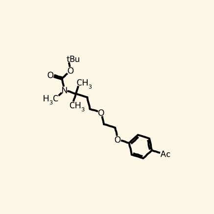 CC(=O)c1ccc(OCCOCCC(C)(C)N(C)C(=O)OC(C)(C)C)cc1